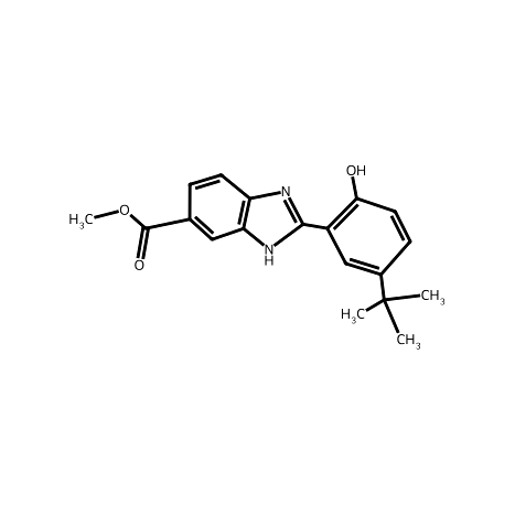 COC(=O)c1ccc2nc(-c3cc(C(C)(C)C)ccc3O)[nH]c2c1